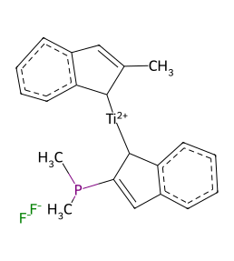 CC1=Cc2ccccc2[CH]1[Ti+2][CH]1C(P(C)C)=Cc2ccccc21.[F-].[F-]